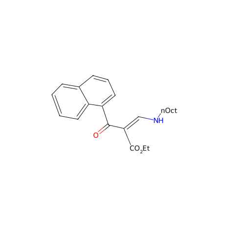 CCCCCCCCNC=C(C(=O)OCC)C(=O)c1cccc2ccccc12